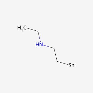 CCNC[CH2][Sn]